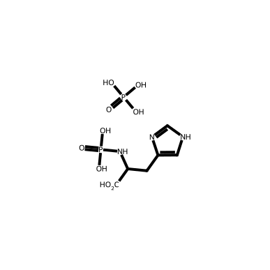 O=C(O)C(Cc1c[nH]cn1)NP(=O)(O)O.O=P(O)(O)O